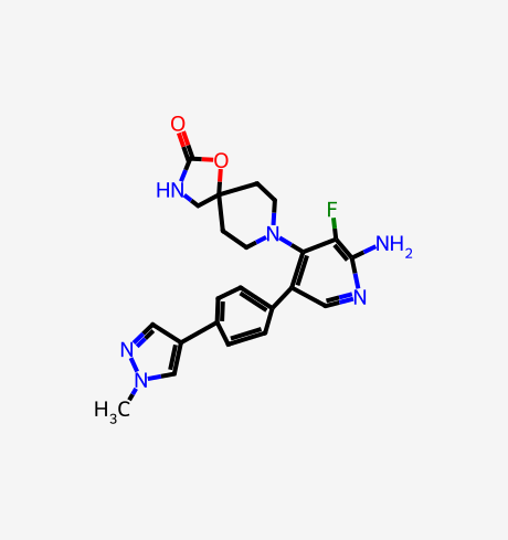 Cn1cc(-c2ccc(-c3cnc(N)c(F)c3N3CCC4(CC3)CNC(=O)O4)cc2)cn1